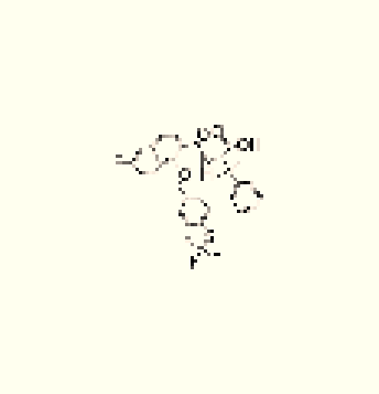 CC(C)(c1ccccc1)C(NC(=O)c1ccc2cc(F)ccc2c1OCc1ccc(SC(F)(F)F)cc1)C(=O)O